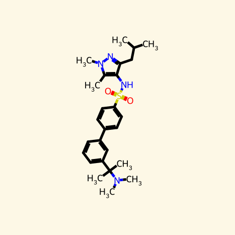 Cc1c(NS(=O)(=O)c2ccc(-c3cccc(C(C)(C)N(C)C)c3)cc2)c(CC(C)C)nn1C